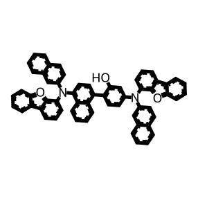 Oc1cc(N(c2ccc3ccccc3c2)c2cccc3c2oc2ccccc23)ccc1-c1ccc(N(c2ccc3ccccc3c2)c2cccc3c2oc2ccccc23)c2ccccc12